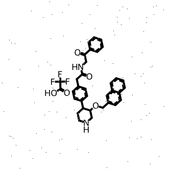 O=C(Cc1ccc(C2CCNCC2OCc2ccc3ccccc3c2)cc1)NCC(=O)c1ccccc1.O=C(O)C(F)(F)F